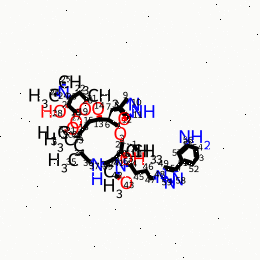 CC[C@H]1OC(=O)[C@H](Cc2cn[nH]c2)C(=O)C[C@@H](O[C@@H]2O[C@H](C)CC(N(C)C)C2O)[C@](C)(OC)C[C@@H](C)CN[C@H](C)[C@@H](N(C=O)CCCCn2cc(-c3cccc(N)c3)nn2)[C@]1(C)O